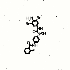 Nc1c(Br)cc(NC(=O)N(S)c2ccc(NC(=O)c3ccccc3F)cc2)cc1Br